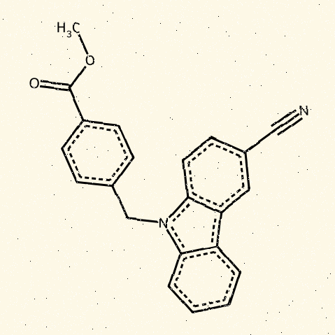 COC(=O)c1ccc(Cn2c3ccccc3c3cc(C#N)ccc32)cc1